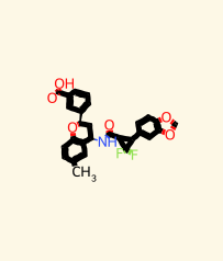 Cc1ccc2c(c1)[C@@H](NC(=O)C1C(c3ccc4c(c3)OCO4)C1(F)F)C[C@H](c1cccc(C(=O)O)c1)O2